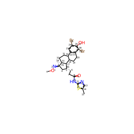 CON=C1C[C@@H](CCC(=O)Nc2ncc(C)s2)C2C3CCc4c(cc(Br)c(O)c4Br)C3CC[C@]12C